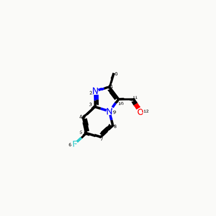 Cc1nc2cc(F)ccn2c1C=O